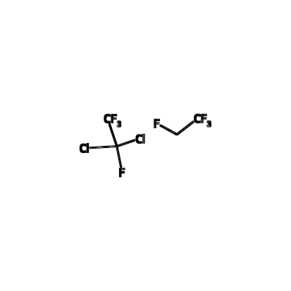 FC(F)(F)C(F)(Cl)Cl.FCC(F)(F)F